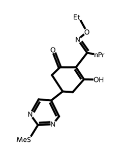 CCCC(=NOCC)C1=C(O)CC(c2cnc(SC)nc2)CC1=O